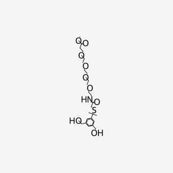 COC(=O)CCOCCOCCOCCOCCNC(=O)CSC(C)(C)c1cc(CO)cc(CO)c1